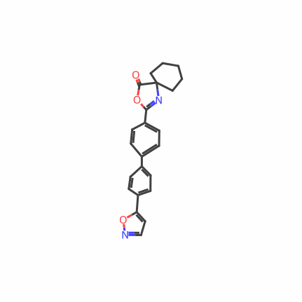 O=C1OC(c2ccc(-c3ccc(-c4ccno4)cc3)cc2)=NC12CCCCC2